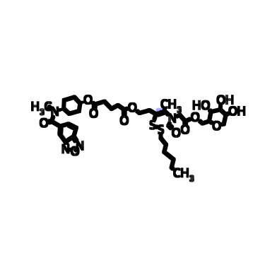 CCCCCCSS/C(CCOC(=O)CCCC(=O)O[C@H]1CC[C@H](N(C)C(=O)c2ccc3nonc3c2)CC1)=C(/C)N(C=O)CC(=O)OCC1OCC(O)C(O)C1O